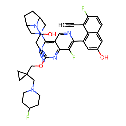 C#Cc1c(F)ccc2cc(O)cc(-c3ncc4c(N5CC6CCC(C5)N6C(O)CC#N)nc(OCC5(CN6CCC(F)CC6)CC5)nc4c3F)c12